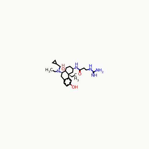 CCN(CC1CC1)[C@@H]1Cc2ccc(O)cc2[C@@]2(CC)C[C@H](NC(=O)CCNC(=N)N)CC[C@@]12O